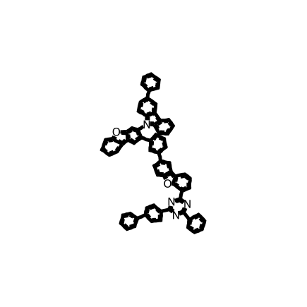 c1ccc(-c2ccc(-c3nc(-c4ccccc4)nc(-c4cccc5c4oc4ccc(-c6cccc(-c7cc8c(cc7-n7c9ccccc9c9cc(-c%10ccccc%10)ccc97)oc7ccccc78)c6)cc45)n3)cc2)cc1